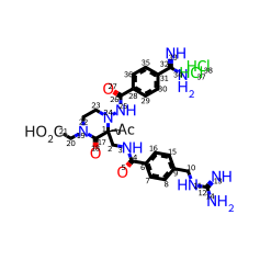 CC(=O)[C@@]1(CNC(=O)c2ccc(CNC(=N)N)cc2)C(=O)N(CC(=O)O)CCN1NC(=O)c1ccc(C(=N)N)cc1.Cl.Cl